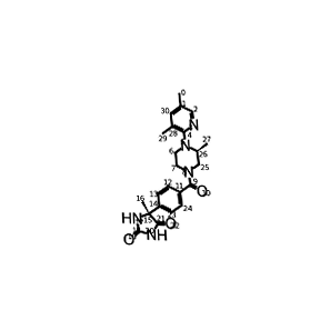 Cc1cnc(N2CCN(C(=O)c3ccc([C@@]4(C)NC(=O)NC4=O)cc3)C[C@@H]2C)c(C)c1